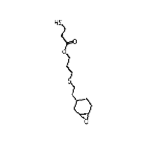 O=C(CCS)OCCCSCCC1CCC2OC2C1